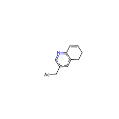 CC(=O)Cc1cnc2c(c1)CCC=C2